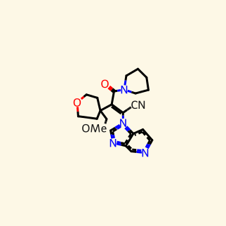 COCC1(/C(C(=O)N2CCCCC2)=C(/C#N)n2cnc3cnccc32)CCOCC1